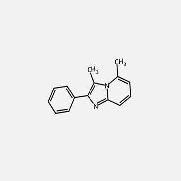 Cc1cccc2nc(-c3ccccc3)c(C)n12